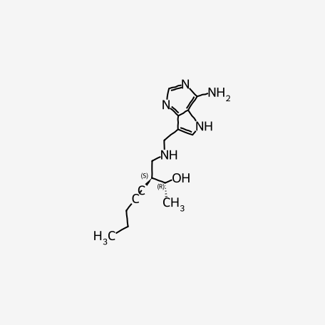 CCCCC[C@@H](CNCc1c[nH]c2c(N)ncnc12)[C@@H](C)O